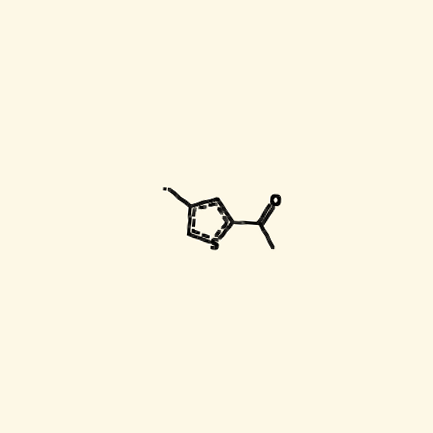 [CH2]c1csc(C(C)=O)c1